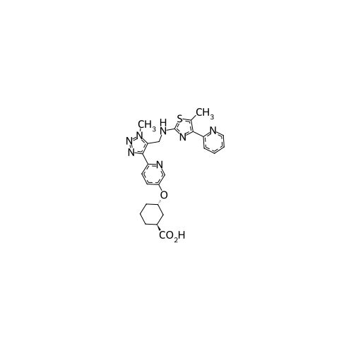 Cc1sc(NCc2c(-c3ccc(O[C@H]4CCC[C@H](C(=O)O)C4)cn3)nnn2C)nc1-c1ccccn1